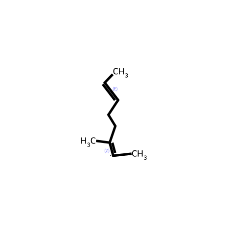 C/[C]=C(/C)CC/C=C/C